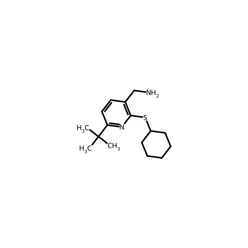 CC(C)(C)c1ccc(CN)c(SC2CCCCC2)n1